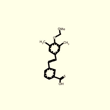 COCOc1c(C)cc(C=Cc2cccc(C(O)=S)c2)cc1C